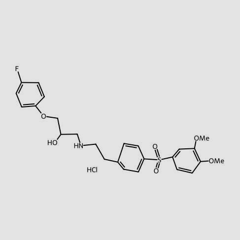 COc1ccc(S(=O)(=O)c2ccc(CCNCC(O)COc3ccc(F)cc3)cc2)cc1OC.Cl